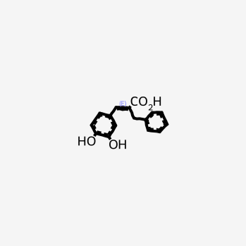 O=C(O)/C(=C/c1ccc(O)c(O)c1)Cc1ccccc1